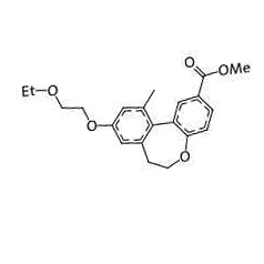 CCOCCOc1cc(C)c2c(c1)CCOc1ccc(C(=O)OC)cc1-2